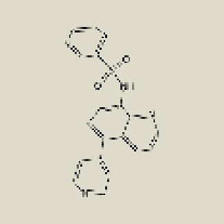 O=S(=O)(Nc1ccc(-c2ccncc2)c2cccnc12)c1cccnc1